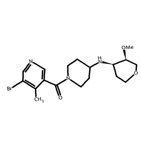 CO[C@H]1COCC[C@H]1NC1CCN(C(=O)c2cncc(Br)c2C)CC1